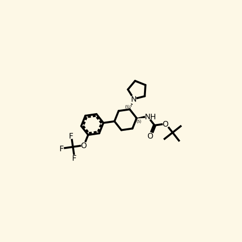 CC(C)(C)OC(=O)N[C@H]1CCC(c2cccc(OC(F)(F)F)c2)C[C@@H]1N1CCCC1